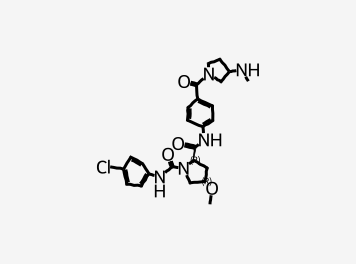 CNC1CCN(C(=O)c2ccc(NC(=O)[C@H]3C[C@@H](OC)CN3C(=O)Nc3ccc(Cl)cc3)cc2)C1